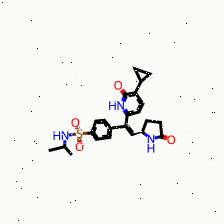 CC(C)NS(=O)(=O)c1ccc(C(=C[C@H]2CCC(=O)N2)c2ccc(C3CC3)c(=O)[nH]2)cc1